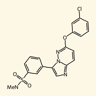 CNS(=O)(=O)c1cccc(-c2cnc3ccc(Oc4cccc(Cl)c4)nn23)c1